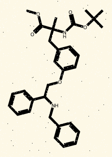 COC(=O)C(C)(Cc1cccc(OCC(NCc2ccccc2)c2ccccc2)c1)NC(=O)OC(C)(C)C